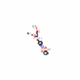 CCOC(=O)CC[C@H](NC(=O)c1ccc(NCS(=O)(=O)c2ccccc2[N+](=O)[O-])cc1)C(=O)OCC